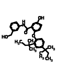 CCC(C)(C)c1ccc(Oc2ccc(O)cc2C(=O)Nc2cccc(CO)c2)c(C(C)(C)CC)c1